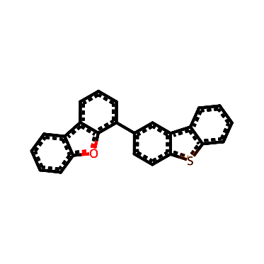 c1ccc2c(c1)oc1c(-c3ccc4sc5ccccc5c4c3)cccc12